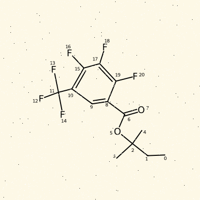 CCC(C)(C)OC(=O)c1cc(C(F)(F)F)c(F)c(F)c1F